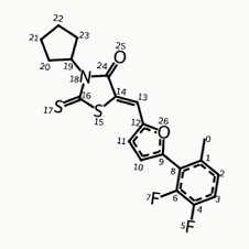 Cc1ccc(F)c(F)c1-c1ccc(/C=C2\SC(=S)N(C3CCCC3)C2=O)o1